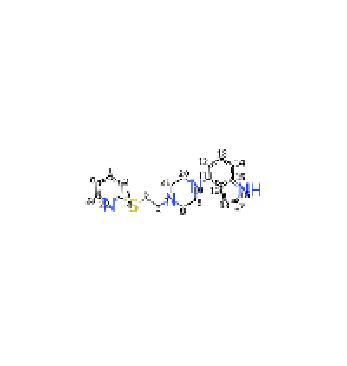 c1ccc(SCCN2CCN(c3cccc4[nH]ccc34)CC2)nc1